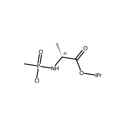 CC(C)OC(=O)[C@@H](C)NP(C)(=O)Cl